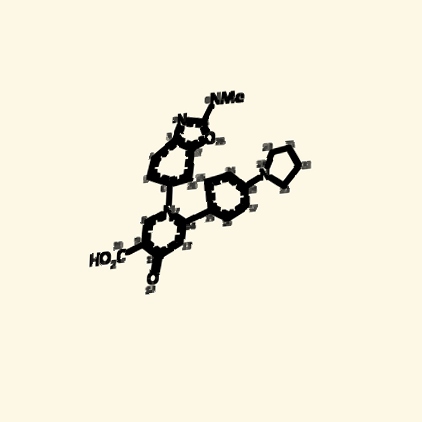 CNc1nc2ccc(-n3cc(C(=O)O)c(=O)cc3-c3ccc(N4CCCC4)cc3)cc2o1